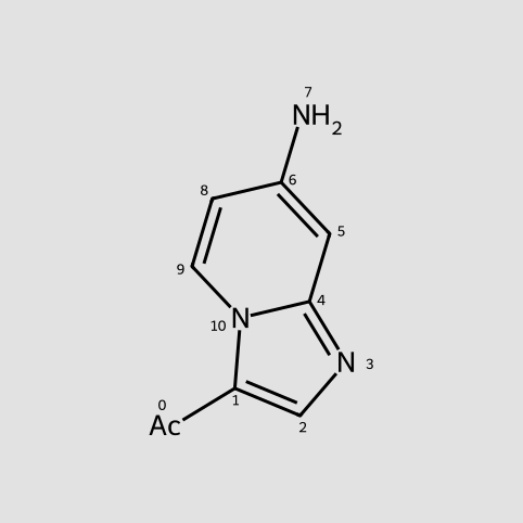 CC(=O)c1cnc2cc(N)ccn12